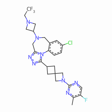 Cc1nc(N2CC3(CC(c4nnc5n4-c4ccc(Cl)cc4CN(C4CN(CC(F)(F)F)C4)C5)C3)C2)ncc1F